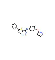 c1ccc(-c2cc3ncnc(Nc4ccc(Oc5ccccn5)cc4)c3s2)cc1